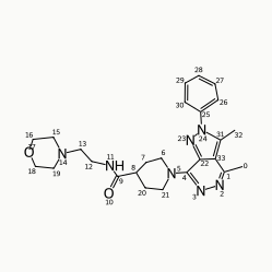 Cc1nnc(N2CCC(C(=O)NCCN3CCOCC3)CC2)c2nn(-c3ccccc3)c(C)c12